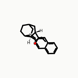 CCC(=O)[C@H]1C2CCC(C[C@@H]1c1ccc3ccccc3c1)CN2C